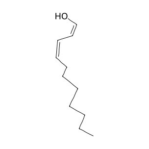 CCCCCCC/C=C\C=C/O